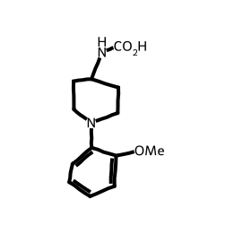 COc1ccccc1N1CCC(NC(=O)O)CC1